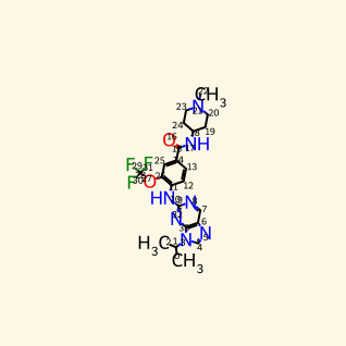 CC(C)n1cnc2cnc(Nc3ccc(C(=O)NC4CCN(C)CC4)cc3OC(F)(F)F)nc21